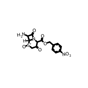 NC1C(=O)N2C(C(=O)OCc3ccc([N+](=O)[O-])cc3)C(=O)C[S+]([O-])[C@H]12